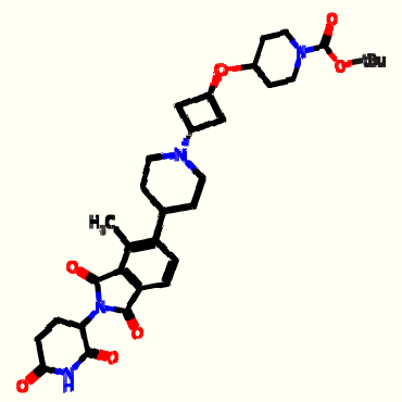 Cc1c(C2CCN([C@H]3C[C@H](OC4CCN(C(=O)OC(C)(C)C)CC4)C3)CC2)ccc2c1C(=O)N(C1CCC(=O)NC1=O)C2=O